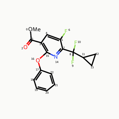 COC(=O)c1cc(F)c(C(F)(F)C2CC2)nc1Oc1ccccc1